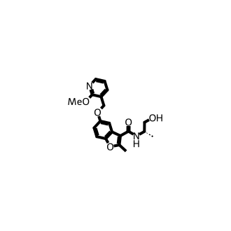 COc1ncccc1COc1ccc2oc(C)c(C(=O)N[C@@H](C)CO)c2c1